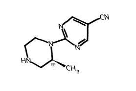 C[C@H]1CNCCN1c1ncc(C#N)cn1